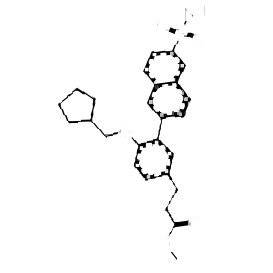 COC(=O)CCc1ccc(OCC2CCCC2)c(-c2ccc3cc(S(N)(=O)=O)ccc3c2)c1